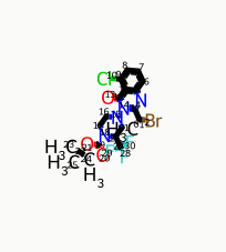 CC(Br)c1nc2cccc(Cl)c2c(=O)n1N1CCN(C(=O)OC(C)(C)C)C(C(F)(F)F)C1